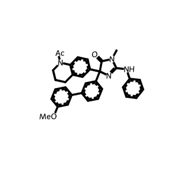 COc1cccc(-c2cccc(C3(c4ccc5c(c4)CCCN5C(C)=O)N=C(Nc4ccccc4)N(C)C3=O)c2)c1